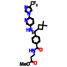 COC(=O)CCNC(=O)c1ccc([C@H](Nc2ccc(-n3cnc(C(F)(F)F)c3)nc2)C2CC(C)(C)C2)cc1